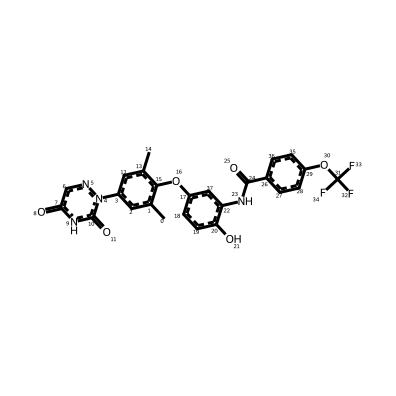 Cc1cc(-n2ncc(=O)[nH]c2=O)cc(C)c1Oc1ccc(O)c(NC(=O)c2ccc(OC(F)(F)F)cc2)c1